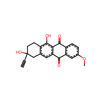 C#CC1(O)CCc2c(cc3c(c2O)C(=O)c2ccc(OC)cc2C3=O)C1